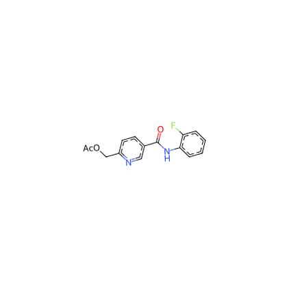 CC(=O)OCc1ccc(C(=O)Nc2ccccc2F)cn1